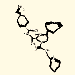 CC(NC(=O)[C@H]1CC[C@H](CN)CC1)[C@H]1NC(c2ccccc2)=CN1C(=O)NCc1ccccn1